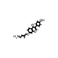 NCC=C(F)COc1ccc2c(=O)c(-c3ccc(O)cc3)coc2c1